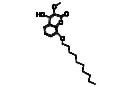 CCCCCCCCCCOc1cccc2c(O)c(OC)c(=O)oc12